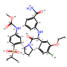 CCOc1cc([C@H](Nc2cccc(C(N)=O)c2)C(=O)N2CCC[C@@H]2c2cc(NC(=O)OC)ccc2S(=O)(=O)C(C)C)ccc1F